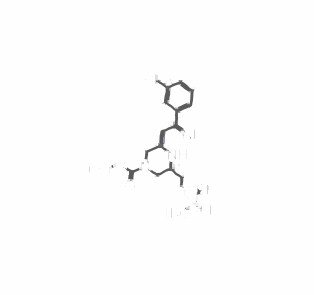 CC(C)(C)OC(=O)N1C/C(=C/C(=N)c2cccc(Cl)c2)NC(CO[Si](C)(C)C(C)(C)C)C1